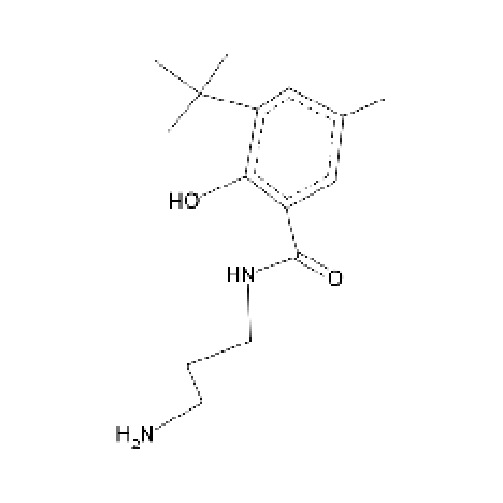 Cc1cc(C(=O)NCCCN)c(O)c(C(C)(C)C)c1